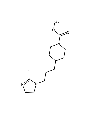 Cc1nccn1CCCC1CCN(C(=O)OC(C)(C)C)CC1